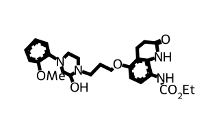 CCOC(=O)Nc1ccc(OCCCN2CCN(c3ccccc3OC)CC2O)c2c1NC(=O)CC2